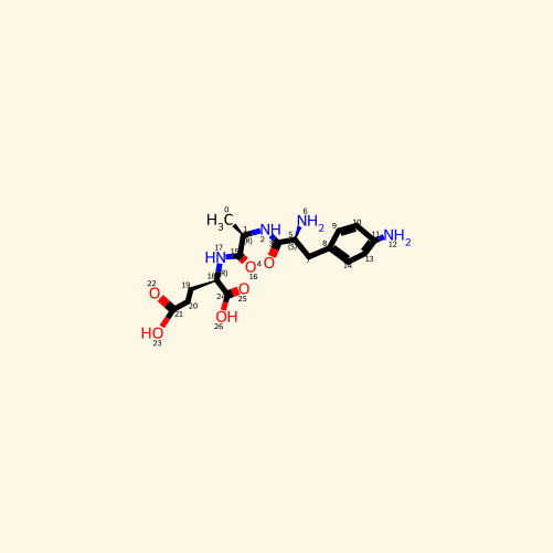 C[C@@H](NC(=O)[C@@H](N)Cc1ccc(N)cc1)C(=O)N[C@H](CCC(=O)O)C(=O)O